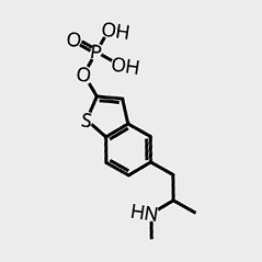 CNC(C)Cc1ccc2sc(OP(=O)(O)O)cc2c1